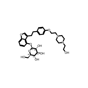 OCCN1CCN(CCOc2ccc(CCc3coc4cccc(O[C@@H]5O[C@H](CO)[C@@H](O)[C@H](O)[C@H]5O)c34)cc2)CC1